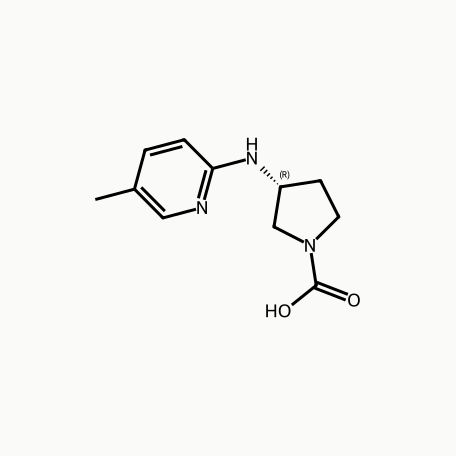 Cc1ccc(N[C@@H]2CCN(C(=O)O)C2)nc1